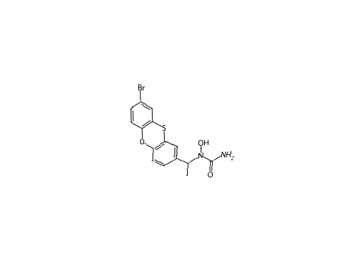 CC(c1ccc2c(c1)Sc1cc(Br)ccc1O2)N(O)C(N)=O